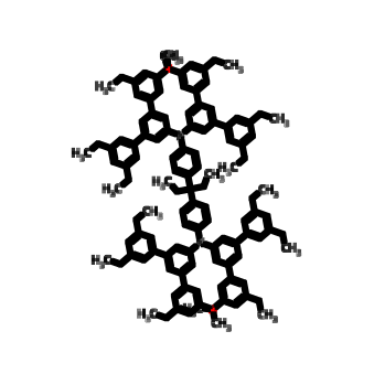 CCc1cc(CC)cc(-c2cc(-c3cc(CC)cc(CC)c3)cc(N(c3ccc(C(CC)(CC)c4ccc(N(c5cc(-c6cc(CC)cc(CC)c6)cc(-c6cc(CC)cc(CC)c6)c5)c5cc(-c6cc(CC)cc(CC)c6)cc(-c6cc(CC)cc(CC)c6)c5)cc4)cc3)c3cc(-c4cc(CC)cc(CC)c4)cc(-c4cc(CC)cc(CC)c4)c3)c2)c1